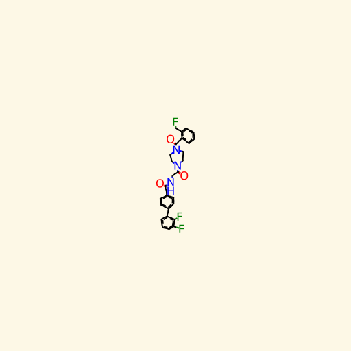 O=C(NCC(=O)N1CCN(C(=O)c2ccccc2CF)CC1)c1ccc(-c2cccc(F)c2F)cc1